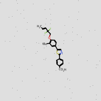 C/C=C/C(F)(F)COc1ccc(-c2cnc(-c3ccc(C(=O)O)cc3)s2)cc1C(C)(C)C